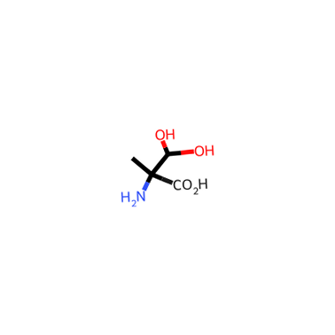 CC(N)(C(=O)O)C(O)O